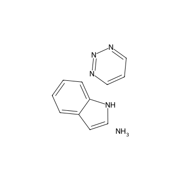 N.c1ccc2[nH]ccc2c1.c1cnnnc1